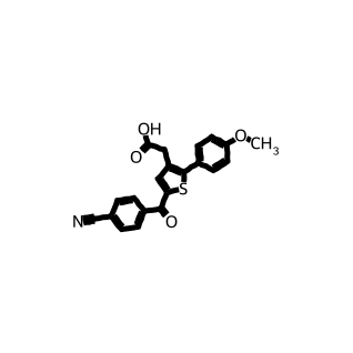 COc1ccc(-c2sc(C(=O)c3ccc(C#N)cc3)cc2CC(=O)O)cc1